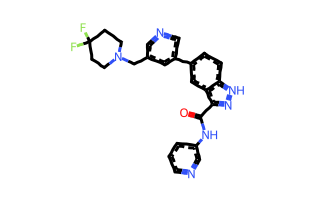 O=C(Nc1cccnc1)c1n[nH]c2ccc(-c3cncc(CN4CCC(F)(F)CC4)c3)cc12